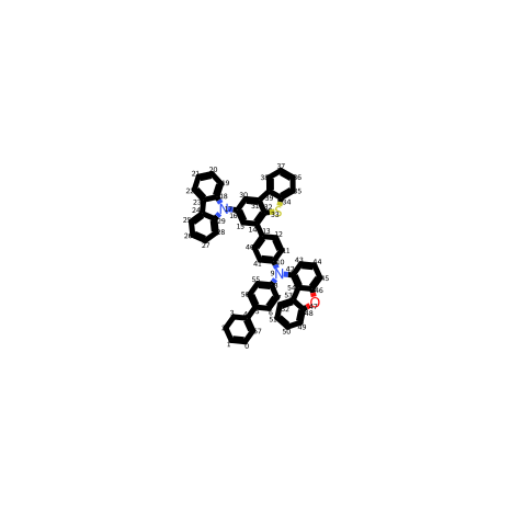 C1=CCCC(c2ccc(N(c3ccc(-c4cc(-n5c6ccccc6c6ccccc65)cc5c4sc4ccccc45)cc3)c3cccc4oc5ccccc5c34)cc2)=C1